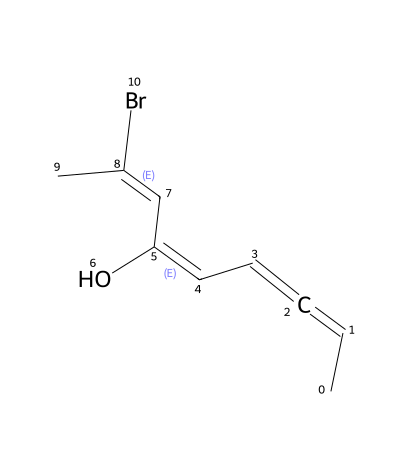 CC=C=C/C=C(O)\C=C(/C)Br